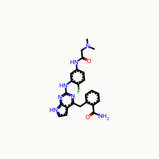 CN(C)CC(=O)Nc1ccc(F)c(Nc2nc(Cc3ccccc3C(N)=O)c3cc[nH]c3n2)c1